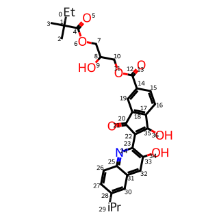 CCC(C)(C)C(=O)OCC(O)COC(=O)c1ccc2c(c1)C(=O)C(c1nc3ccc(C(C)C)cc3cc1O)=C2O